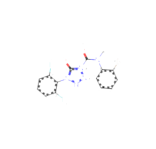 CN(C(=O)n1nnn(-c2c(F)cccc2F)c1=O)c1ccccc1Br